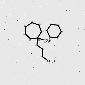 C1CCCCC1.O=C(O)CCCC1(C(=O)O)CCCCCC1